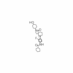 O=C(Nc1ccc(N2CCC[C@]3(CCN(C4CCC(O)CC4)C3=O)C2)c(F)c1)C1CCCCC1